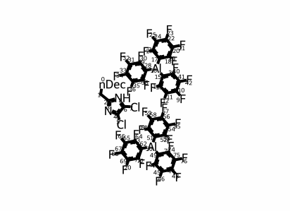 CCCCCCCCCCCc1nc(Cl)c(Cl)[nH]1.Fc1c(F)c(F)[c]([Al]([c]2c(F)c(F)c(F)c(F)c2F)[c]2c(F)c(F)c(F)c(F)c2F)c(F)c1F.Fc1c(F)c(F)[c]([Al]([c]2c(F)c(F)c(F)c(F)c2F)[c]2c(F)c(F)c(F)c(F)c2F)c(F)c1F